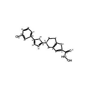 O=C(NO)c1cc2c(s1)CCN(c1ncc(-c3cccc(Cl)c3)s1)C2